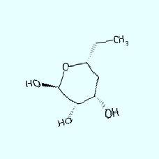 CC[C@@H]1C[C@H](O)[C@H](O)[C@@H](O)O1